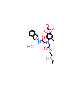 CCNCCNC(=O)CN(CC(=O)N(C)N1Cc2ccccc2C1)c1cc2oc(=O)n(C)c2cc1C.Cl